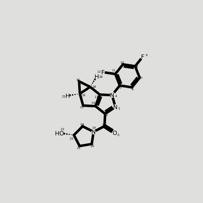 O=C(c1nn(-c2ccc(F)cc2F)c2c1C[C@H]1C[C@@H]21)N1CC[C@H](O)C1